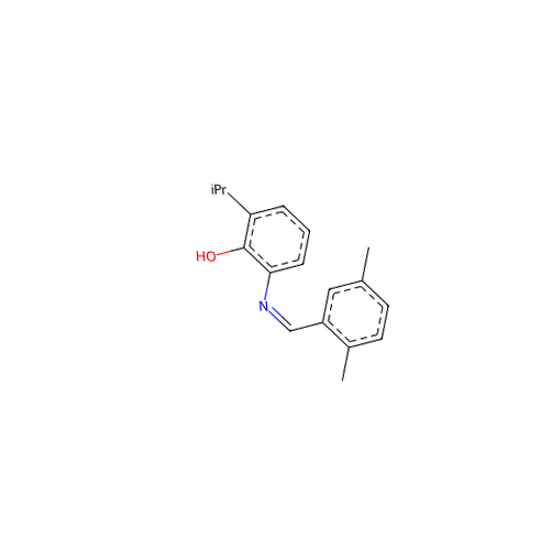 Cc1ccc(C)c(/C=N\c2cccc(C(C)C)c2O)c1